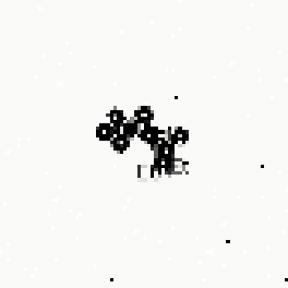 CCc1cc2c(cc(-c3ccccn3)c(=O)n2Cc2ccc(-c3ccccc3-c3nnn(C(c4ccccc4)(c4ccccc4)c4ccccc4)n3)cc2)c(CC)n1